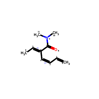 C=C/C=C\C(=C/C)C(=O)N(C)C